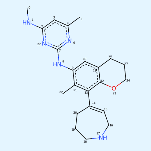 CNc1cc(C)nc(Nc2cc3c(c(C4=CCNCCC4)c2C)OCCC3)n1